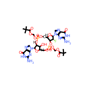 CC(C)(C)C(=O)OCOP1(=O)OC[C@H]2O[C@@H](n3cnc4c(=O)[nH]c(N)nc43)[C@@H](OP(=O)(OCOC(=O)C(C)(C)C)OC[C@H]3O[C@@H](n4cnc5c(=O)[nH]c(N)nc54)[C@@H](F)C3O1)C2O